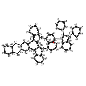 c1ccc(-c2c(-c3ccc(-n4c5ccccc5c5c6cc7c(cc6c6c8ccccc8n(-c8ccccc8)c6c54)Cc4ccccc4C7)cc3)c3ccccc3n2-c2ccccc2)cc1